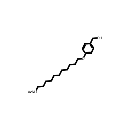 CC(=O)NCCCCCCCCCCCOc1ccc(CO)cc1